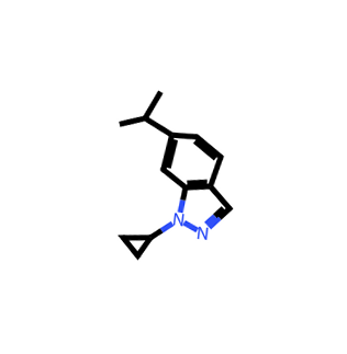 CC(C)c1ccc2cnn(C3CC3)c2c1